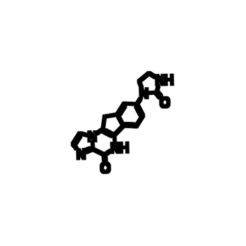 O=C1NCCN1c1ccc2c(c1)Cc1c-2[nH]c(=O)c2nccn12